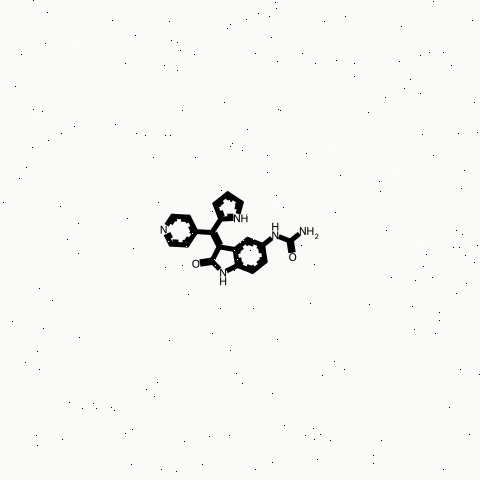 NC(=O)Nc1ccc2c(c1)C(=C(c1ccncc1)c1ccc[nH]1)C(=O)N2